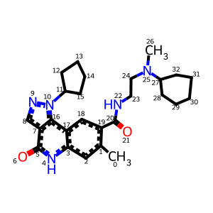 Cc1cc2[nH]c(=O)c3cnn(C4CCCC4)c3c2cc1C(=O)NCCN(C)C1CCCCC1